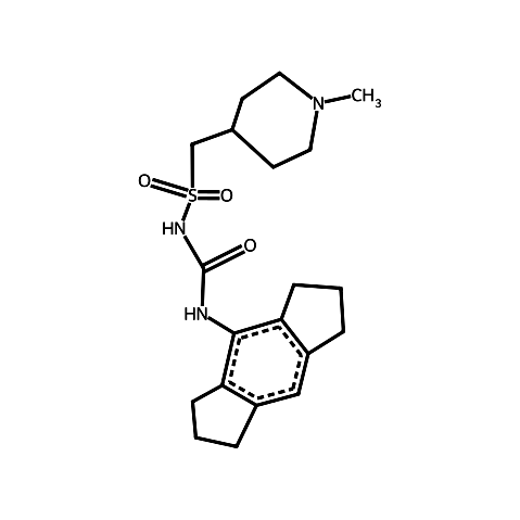 CN1CCC(CS(=O)(=O)NC(=O)Nc2c3c(cc4c2CCC4)CCC3)CC1